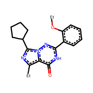 CCOc1ccccc1-c1nn2c(C3CCCC3)nc(CC)c2c(=O)[nH]1